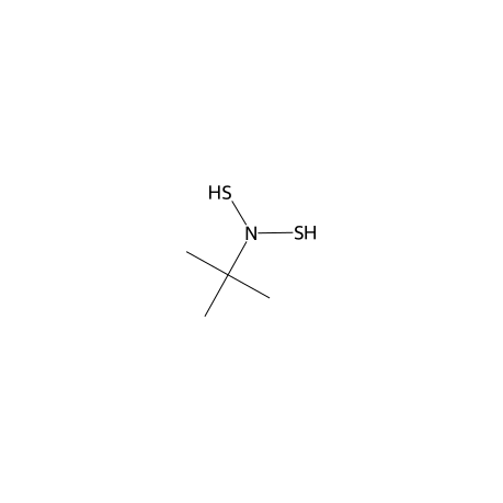 CC(C)(C)N(S)S